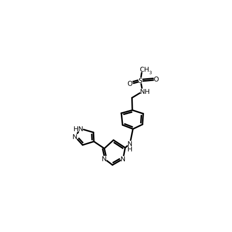 CS(=O)(=O)NCc1ccc(Nc2cc(-c3cn[nH]c3)ncn2)cc1